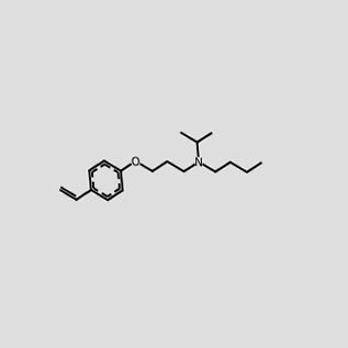 C=Cc1ccc(OCCCN(CCCC)C(C)C)cc1